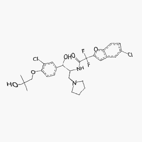 CC(C)(O)COc1ccc(C(O)C(CN2CCCC2)NC(=O)C(F)(F)c2cc3cc(Cl)ccc3o2)cc1Cl